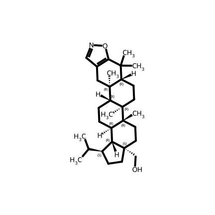 CC(C)[C@@H]1CC[C@]2(CO)CC[C@]3(C)[C@H](CC[C@@H]4[C@@]5(C)Cc6cnoc6C(C)(C)[C@@H]5CC[C@]43C)[C@@H]12